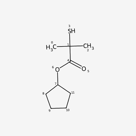 CC(C)(S)C(=O)OC1CCCC1